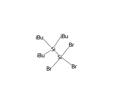 CCC(C)[Si](C(C)CC)(C(C)CC)[Si](Br)(Br)Br